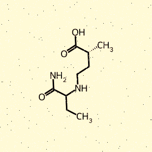 CCC(NCC[C@@H](C)C(=O)O)C(N)=O